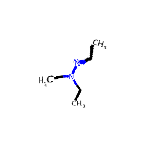 CC[N]N(C)CC